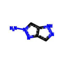 Nn1cc2[nH]ncc2n1